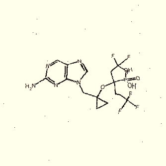 Nc1ncc2ncn(CC3(OC(CC(F)(F)F)(CC(F)(F)F)P(=O)(O)O)CC3)c2n1